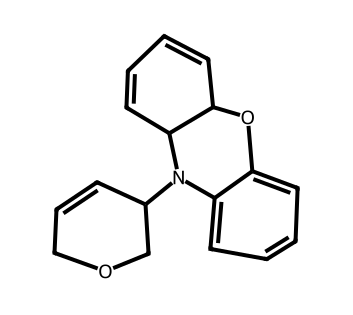 C1=CC2Oc3ccccc3N(C3C=CCOC3)C2C=C1